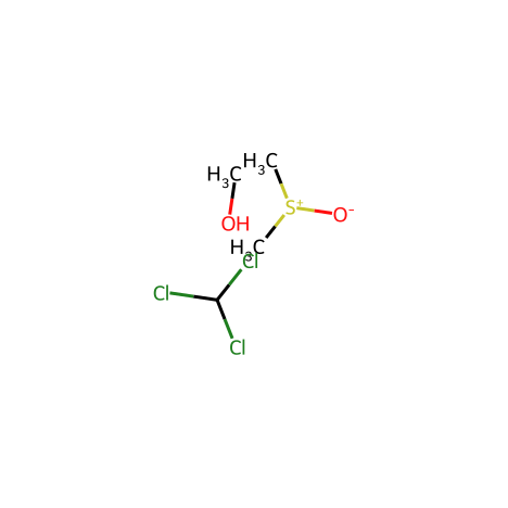 CO.C[S+](C)[O-].ClC(Cl)Cl